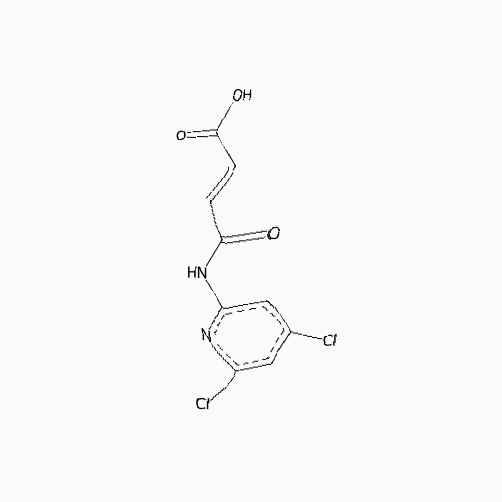 O=C(O)/C=C/C(=O)Nc1cc(Cl)cc(Cl)n1